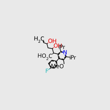 C=CC(O)CC(O)C(C(=O)O)c1c(C(C)C)nc(C(C)C)c(COC)c1-c1ccc(F)cc1